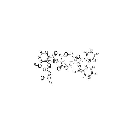 COc1ccnc(C(=O)N[C@@H]2COC[C@@H](OCc3ccccc3)[C@H](OCc3ccccc3)[C@H](C)OC2=O)c1OCOC(C)=O